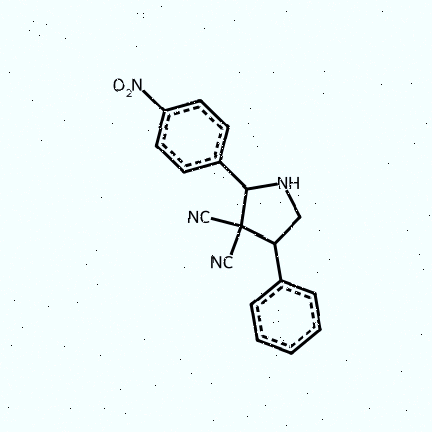 N#CC1(C#N)C(c2ccccc2)CNC1c1ccc([N+](=O)[O-])cc1